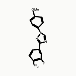 COc1ccc(-n2cnc(-c3ccc(N)c(F)c3)n2)cc1